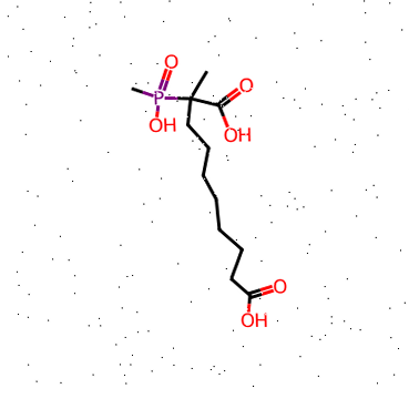 CC(CCCCCCCC(=O)O)(C(=O)O)P(C)(=O)O